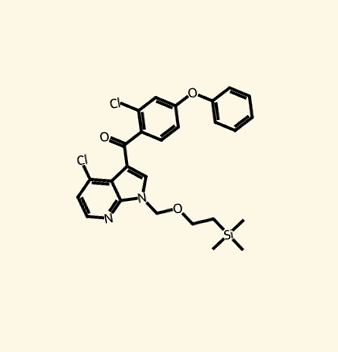 C[Si](C)(C)CCOCn1cc(C(=O)c2ccc(Oc3ccccc3)cc2Cl)c2c(Cl)ccnc21